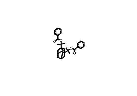 CC(C)(OC(=O)c1ccccc1)C12CC3CC(C1)CC(C(C)(C)OC(=O)c1ccccc1)(C3)C2